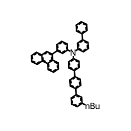 CCCCc1cccc(-c2ccc(-c3ccc(N(c4cccc(-c5ccccc5)c4)c4cccc(-c5cc6ccccc6c6ccccc56)c4)cc3)cc2)c1